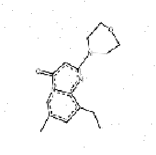 [CH2]Cc1cc(C)cn2c(=O)cc(N3CCOCC3)nc12